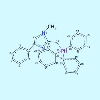 Cn1cc(-c2ccccc2)nc1C[PH](c1ccccc1)(c1ccccc1)c1ccccc1